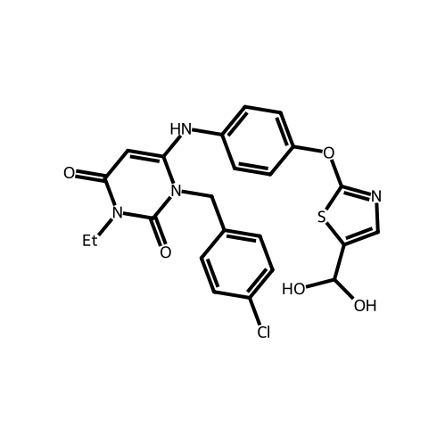 CCn1c(=O)cc(Nc2ccc(Oc3ncc(C(O)O)s3)cc2)n(Cc2ccc(Cl)cc2)c1=O